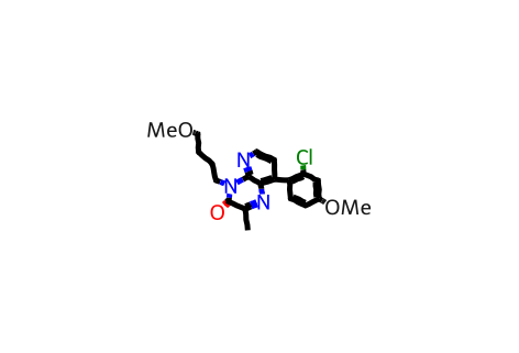 COCCCCn1c(=O)c(C)nc2c(-c3ccc(OC)cc3Cl)ccnc21